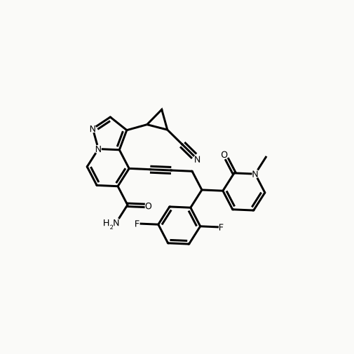 Cn1cccc(C(CC#Cc2c(C(N)=O)ccn3ncc(C4CC4C#N)c23)c2cc(F)ccc2F)c1=O